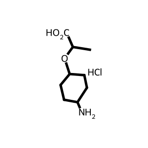 CC(OC1CCC(N)CC1)C(=O)O.Cl